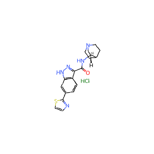 Cl.O=C(N[C@@H]1CN2CCC1CC2)c1n[nH]c2cc(-c3nccs3)ccc12